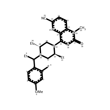 CCC(c1ccc(OC)cc1F)N1C[C@H](CC)N(c2nc(=O)n(C)c3ccc(C#N)nc23)C[C@H]1CC